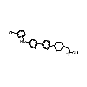 O=C(O)CC1CCC(c2ccc(-c3ccc(Nc4cccc(Cl)c4)cn3)cc2)CC1